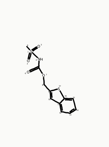 CS(=O)(=O)NC(=O)OCc1cc2ccccc2s1